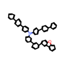 c1ccc(-c2ccc(-c3ccc(N(c4ccc(-c5ccc(-c6ccccc6)cc5)cc4)c4cccc(-c5cccc(-c6ccc7oc8ccccc8c7c6)c5)c4)cc3)cc2)cc1